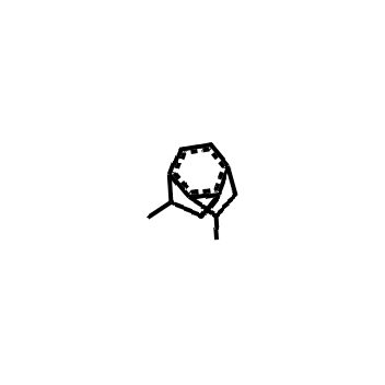 CC1Cc2c3ccc1c2C(C)C3